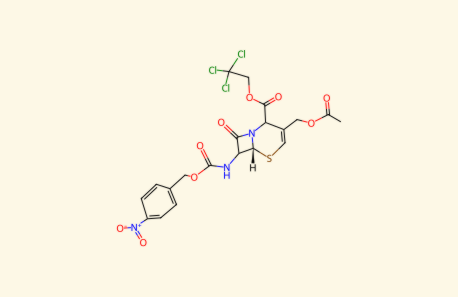 CC(=O)OCC1=CS[C@@H]2C(NC(=O)OCc3ccc([N+](=O)[O-])cc3)C(=O)N2C1C(=O)OCC(Cl)(Cl)Cl